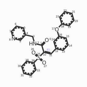 O=C(NCc1cccnc1)/C(=C\c1cccc(Oc2ccccc2)c1)S(=O)(=O)c1ccccc1